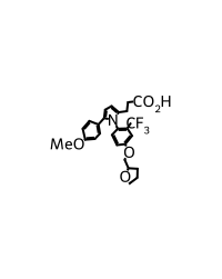 COc1ccc(-c2ccc(CCC(=O)O)n2-c2ccc(OCC3CCCO3)cc2C(F)(F)F)cc1